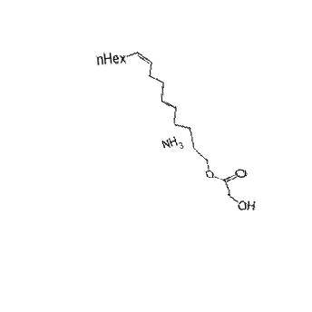 CCCCCC/C=C\CCCCCCCCOC(=O)CO.N